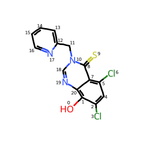 Oc1c(Cl)cc(Cl)c2c(=S)n(Cc3ccccn3)cnc12